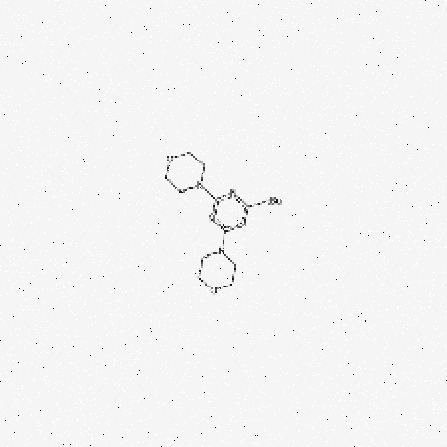 CC(C)(C)c1cc(N2CCOCC2)nc(N2CCOCC2)n1